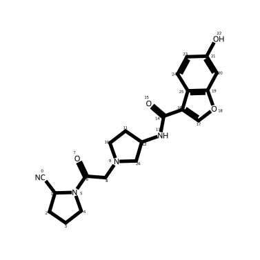 N#CC1CCCN1C(=O)CN1CCC(NC(=O)c2coc3cc(O)ccc23)C1